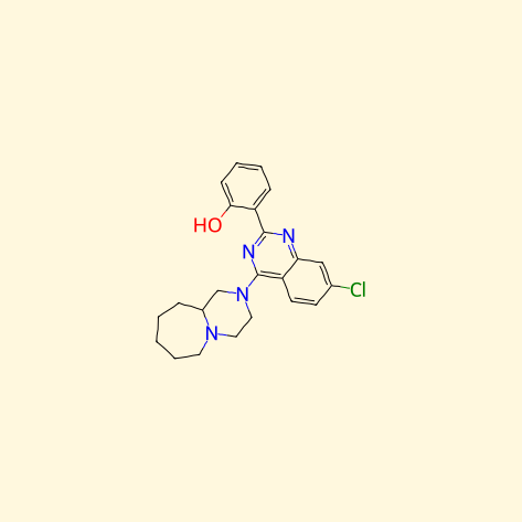 Oc1ccccc1-c1nc(N2CCN3CCCCCC3C2)c2ccc(Cl)cc2n1